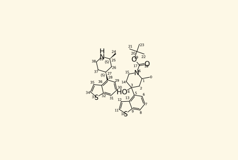 CC1CC(O)(c2cccc3sccc23)CCN1C(=O)OC(C)(C)C.C[C@H]1C[C@@H](c2cccc3sccc23)CCN1